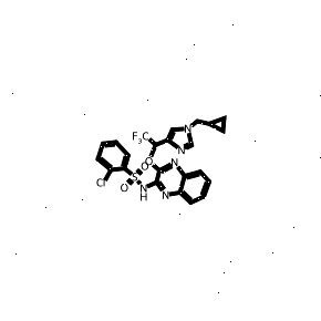 O=S(=O)(Nc1nc2ccccc2nc1OC(c1cn(CC2CC2)cn1)C(F)(F)F)c1ccccc1Cl